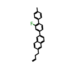 C=CCCc1ccc2cc(-c3ccc(-c4ccc(C)cc4)c(F)c3)ccc2c1